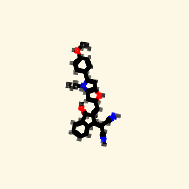 COc1ccc(-c2cc3oc(/C=C4\C(=O)c5ccccc5C4=C(C#N)C#N)cc3n2C)cc1